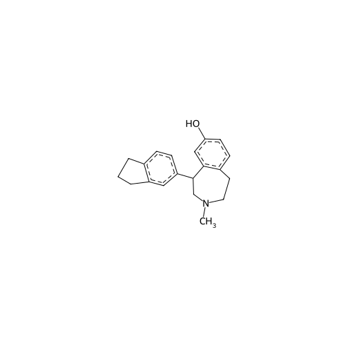 CN1CCc2ccc(O)cc2C(c2ccc3c(c2)CCC3)C1